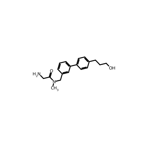 CN(Cc1cccc(-c2ccc(CCCO)cc2)c1)C(=O)CN